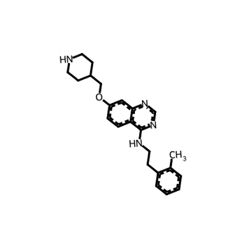 Cc1ccccc1CCNc1ncnc2cc(OCC3CCNCC3)ccc12